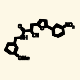 COc1cccc(CNC(=O)/C(C#N)=C/c2ccc(-c3cccc([N+](=O)[O-])c3)o2)c1